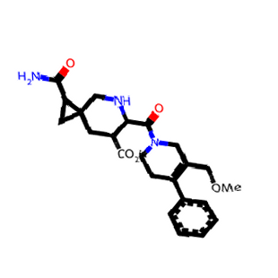 COCC1=C(c2ccccc2)CCN(C(=O)C2NCC3(CC2C(=O)O)CC3C(N)=O)C1